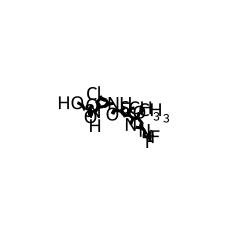 COc1cc(N2CC(F)(F)C2)cnc1-c1cc(C(=O)Nc2cc(Cl)cc(NS(=O)(=O)CCO)c2)sc1C